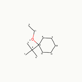 C[CH]OC1(C(C)(C)C)CCCCC1